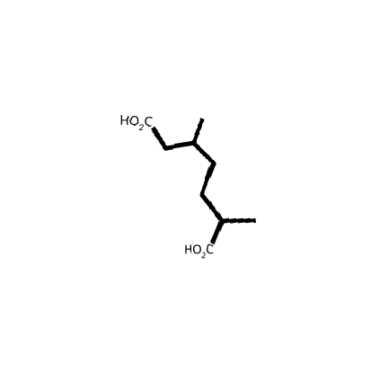 CC(CCC(C)C(=O)O)CC(=O)O